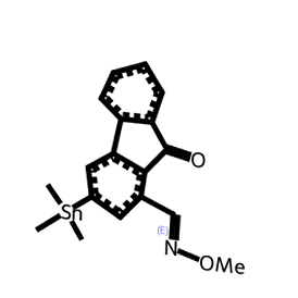 CO/N=C/c1c[c]([Sn]([CH3])([CH3])[CH3])cc2c1C(=O)c1ccccc1-2